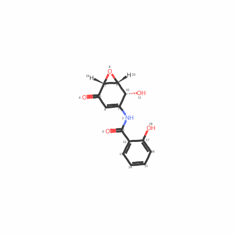 O=C(NC1=CC(=O)[C@@H]2O[C@@H]2[C@@H]1O)c1ccccc1O